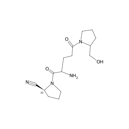 N#C[C@@H]1CCCN1C(=O)C(N)CCC(=O)N1CCCC1CO